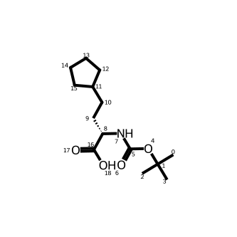 CC(C)(C)OC(=O)N[C@@H](CCC1CCCC1)C(=O)O